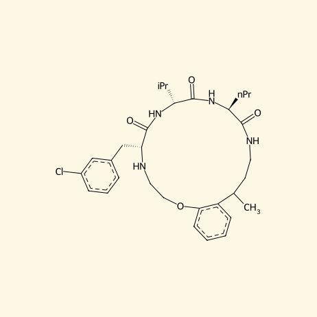 CCC[C@@H]1NC(=O)[C@@H](C(C)C)NC(=O)[C@@H](Cc2cccc(Cl)c2)NCCOc2ccccc2C(C)CCNC1=O